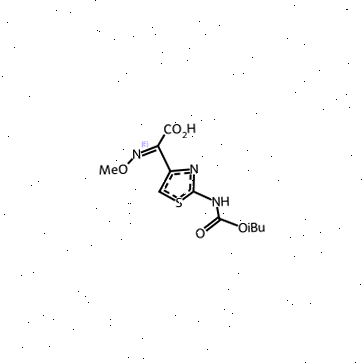 CO/N=C(/C(=O)O)c1csc(NC(=O)OCC(C)C)n1